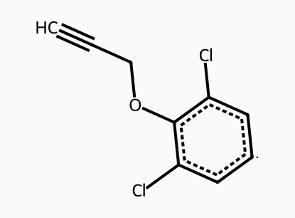 C#CCOc1c(Cl)c[c]cc1Cl